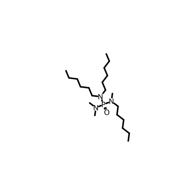 CCCCCCN(C)P(=O)(N(C)C)N(CCCCCC)CCCCCC